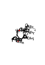 CCn1c(-c2cccnc2[C@H](C)OC)c2c3cc(ccc31)-c1cc(O)cc(c1)C[C@H](NC(=O)C(C(C)C)N(C)C(=O)[C@@H]1COC[C@@H]1N)C(=O)N1CCC[C@H](N1)C(=O)OCC(C)(C)C2